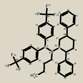 CCCCN(P(c1ccc(C(F)(F)F)cc1)c1ccc(C(F)(F)F)cc1)P1CC(c2ccccc2)CCC1c1ccccc1